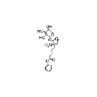 N[C@@](CF)(CCCCC(=O)Oc1ccccc1)C(=O)O[C@@H]1OC[C@@H](O)[C@H](O)[C@H]1O